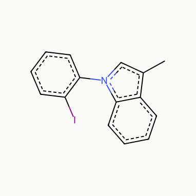 Cc1cn(-c2ccccc2I)c2ccccc12